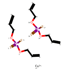 C=CCOP(=S)([S-])OCC=C.C=CCOP(=S)([S-])OCC=C.[Cu+2]